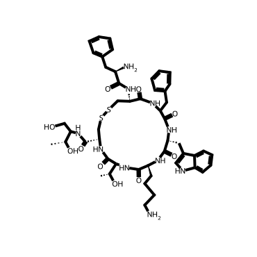 C[C@@H](O)C(CO)NC(=O)[C@@H]1CSSC[C@H](NC(=O)[C@H](N)Cc2ccccc2)C(=O)NC(Cc2ccccc2)C(=O)N[C@H](Cc2c[nH]c3ccccc23)C(=O)N[C@@H](CCCCN)C(=O)NC([C@@H](C)O)C(=O)N1